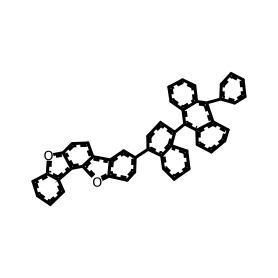 c1ccc(-c2c3ccccc3c(-c3ccc(-c4ccc5oc6c(ccc7oc8ccccc8c76)c5c4)c4ccccc34)c3ccccc23)cc1